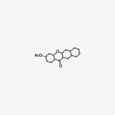 CC(=O)Oc1ccc2c(=O)c3cc4ccccc4cc3oc2c1